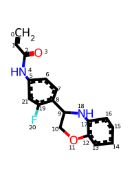 C=CC(=O)Nc1ccc(C2COc3ccccc3N2)c(F)c1